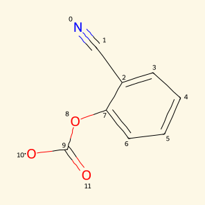 N#Cc1ccccc1OC([O])=O